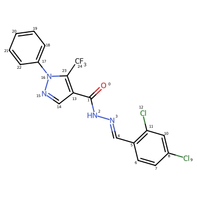 O=C(NN=Cc1ccc(Cl)cc1Cl)c1cnn(-c2ccccc2)c1C(F)(F)F